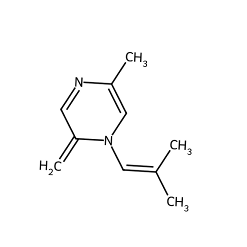 C=C1C=NC(C)=CN1C=C(C)C